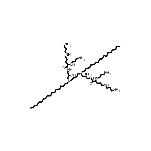 CCCCCCCC/C=C/CCCCCCCCN(CCCCN(CCCCCCCC/C=C/CCCCCCCC)CC(O)CNC(=O)C(CCCNCCCN)NCCCN)CC(O)CNC(=O)C(CCCNCCCN)NCCCN